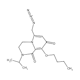 CCCCOc1c2n(c(CN=[N+]=[N-])cc1=O)CCN(C(C)C)C2=O